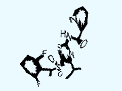 CC(C)c1nc(NC(=O)c2ccccn2)sc1S(=O)(=O)C(C)c1c(F)cccc1F